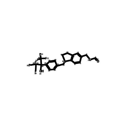 O=COCc1ccc2c(c1)CCN2Cc1ccc(C(O)(C(F)(F)F)C(F)(F)F)cc1